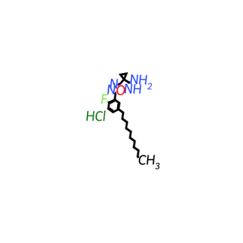 CCCCCCCCCCCc1ccc(F)c(-c2nnc(C3(C(=N)N)CC3)o2)c1.Cl